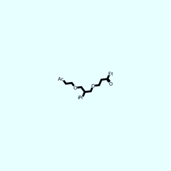 CCC(=O)CCOCC(COCCC(C)=O)C(C)C